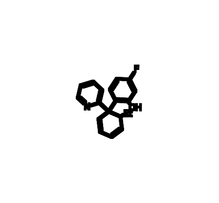 CCC1C=CC=CC1(c1ccccn1)c1ccc(F)cc1O